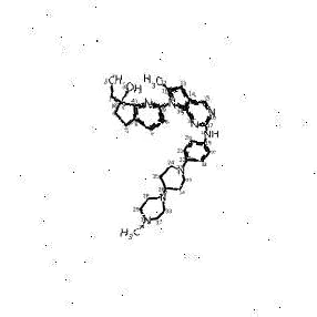 CC[C@@]1(O)CCc2ccc(-n3c(C)cc4cnc(Nc5ccc(N6CCC(N7CCN(C)CC7)CC6)cc5)nc43)nc21